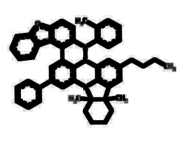 CCCCc1cc2c3c(c1)C1(C)CCCCC1(C)N3c1cc(-c3ccccc3)cc3c1B2N(c1ccccc1C)c1ccc2oc4ccccc4c2c1-3